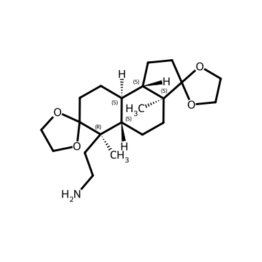 C[C@]12CC[C@H]3[C@@H](CCC4(OCCO4)[C@]3(C)CCN)[C@@H]1CCC21OCCO1